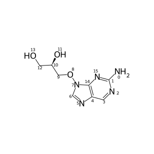 Nc1ncc2ncn(OC[C@H](O)CO)c2n1